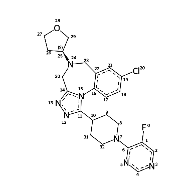 Fc1cncnc1N1CCC(c2nnc3n2-c2ccc(Cl)cc2CN([C@H]2CCOC2)C3)CC1